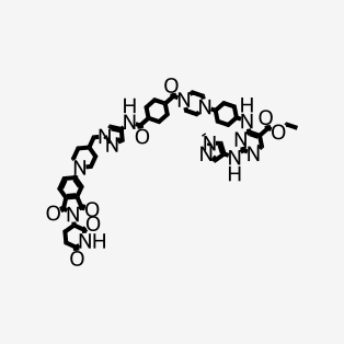 CCOC(=O)c1cnc(Nc2cnn(C)c2)nc1NC1CCC(N2CCN(C(=O)C3CCC(C(=O)Nc4cnn(CC5CCN(c6ccc7c(c6)C(=O)N(C6CCC(=O)NC6=O)C7=O)CC5)c4)CC3)CC2)CC1